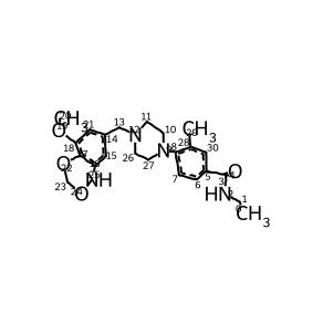 CCNC(=O)c1ccc(N2CCN(Cc3cc4c(c(OC)c3)OCON4)CC2)c(C)c1